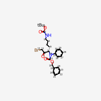 CC(C)(C)OC(=O)NCCCC[C@@H](C(=O)CBr)N(C(=O)OCc1ccccc1)c1ccccc1